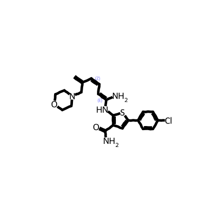 C=C(/C=C\C=C(/N)Nc1sc(-c2ccc(Cl)cc2)cc1C(N)=O)CN1CCOCC1